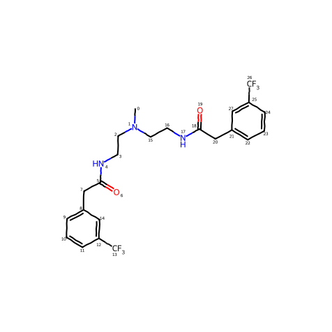 CN(CCNC(=O)Cc1cccc(C(F)(F)F)c1)CCNC(=O)Cc1cccc(C(F)(F)F)c1